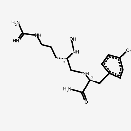 N=C(N)NCCC[C@@H](CN[C@@H](Cc1ccc(O)cc1)C(N)=O)NO